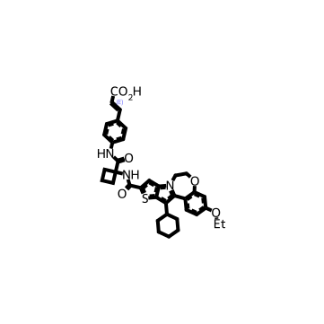 CCOc1ccc2c(c1)OCCn1c-2c(C2CCCCC2)c2sc(C(=O)NC3(C(=O)Nc4ccc(/C=C/C(=O)O)cc4)CCC3)cc21